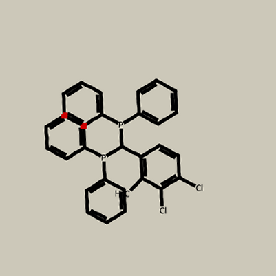 Cc1c(C(P(c2ccccc2)c2ccccc2)P(c2ccccc2)c2ccccc2)ccc(Cl)c1Cl